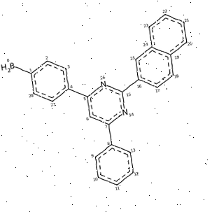 Bc1ccc(-c2cc(-c3ccccc3)nc(-c3ccc4ccccc4c3)n2)cc1